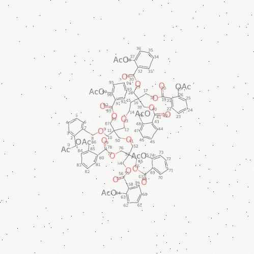 CC(=O)Cc1ccccc1COCC(COCCC(COC(=O)c1ccccc1OC(C)=O)(COC(=O)c1ccccc1OC(C)=O)COC(=O)c1ccccc1OC(C)=O)(COCC(COC(=O)c1ccccc1OC(C)=O)(COC(=O)c1ccccc1OC(C)=O)COC(=O)c1ccccc1OC(C)=O)COC(=O)c1ccccc1OC(C)=O